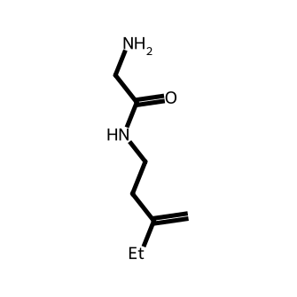 C=C(CC)CCNC(=O)CN